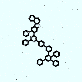 c1ccc(-c2cc(-c3ccccc3)c(-c3ccccc3)c(-c3cccc(-c4ccc(-c5cc(-c6cc7oc8ccc9ccccc9c8c7cc6-c6ccccc6)nc(-c6ccccc6)n5)cc4)c3)c2)cc1